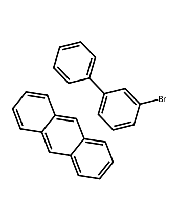 Brc1cccc(-c2ccccc2)c1.c1ccc2cc3ccccc3cc2c1